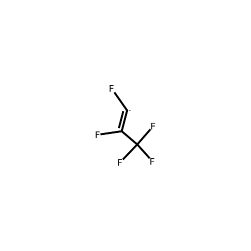 F/[C]=C(\F)C(F)(F)F